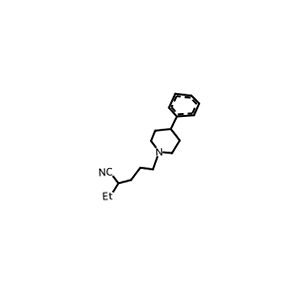 CCC(C#N)CCCN1CCC(c2ccccc2)CC1